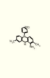 Cc1ccc2c(c1)Nc1c(ccc(C)c1N)N2c1ccccc1.Cl